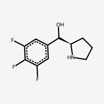 OC(c1cc(F)c(F)c(F)c1)[C@H]1CCCN1